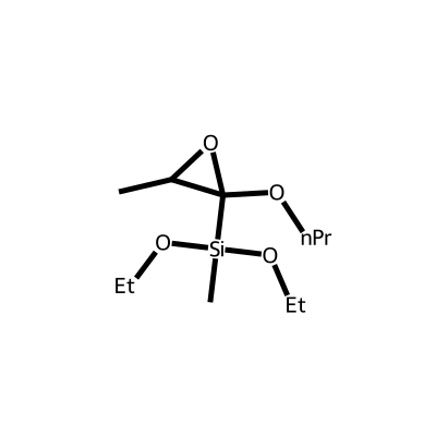 CCCOC1([Si](C)(OCC)OCC)OC1C